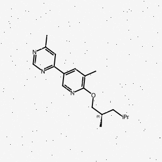 Cc1cc(-c2cnc(OC[C@H](C)CC(C)C)c(C)c2)ncn1